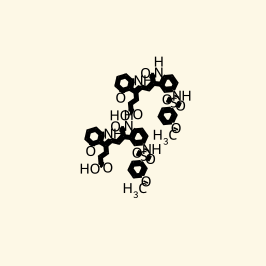 COc1cccc(S(=O)(=O)Nc2ccc3c(c2)/C(=C/c2[nH]c4c(c2CCC(=O)O)C(=O)CCC4)C(=O)N3)c1.COc1cccc(S(=O)(=O)Nc2ccc3c(c2)C(=Cc2[nH]c4c(c2CCC(=O)O)C(=O)CCC4)C(=O)N3)c1